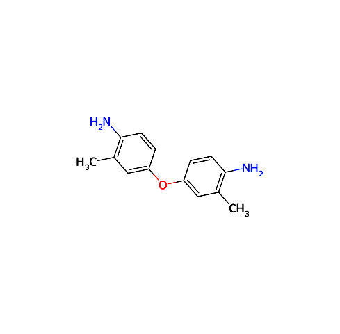 Cc1cc(Oc2ccc(N)c(C)c2)ccc1N